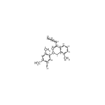 Cc1cc(C)c(OCc2c(C)cccc2C(=O)N=[N+]=[N-])cc1F